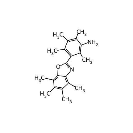 Cc1c(C)c(N)c(C)c(-c2nc3c(C)c(C)c(C)c(C)c3o2)c1C